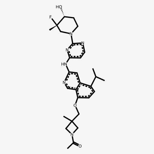 CC(=O)N1CC(C)(COc2ccc(C(C)C)c3cc(Nc4ccnc(N5CC[C@@H](O)[C@@](C)(F)C5)n4)ncc23)C1